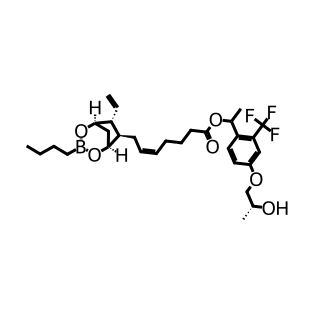 C=C[C@@H]1[C@@H](C/C=C\CCCC(=O)OC(C)c2ccc(OC[C@@H](C)O)cc2C(F)(F)F)[C@@H]2C[C@H]1OB(CCCC)O2